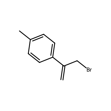 C=C(CBr)c1ccc(C)cc1